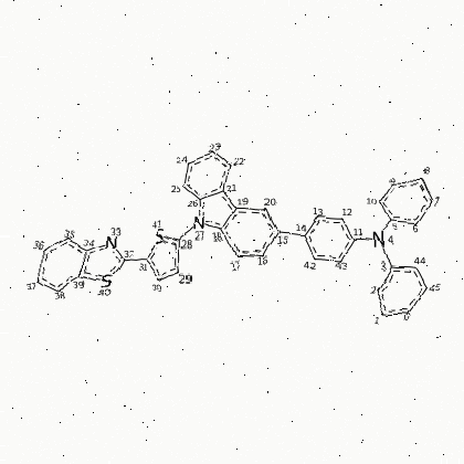 c1ccc(N(c2ccccc2)c2ccc(-c3ccc4c(c3)c3ccccc3n4-c3ccc(-c4nc5ccccc5s4)s3)cc2)cc1